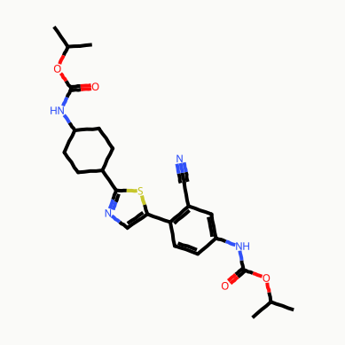 CC(C)OC(=O)Nc1ccc(-c2cnc(C3CCC(NC(=O)OC(C)C)CC3)s2)c(C#N)c1